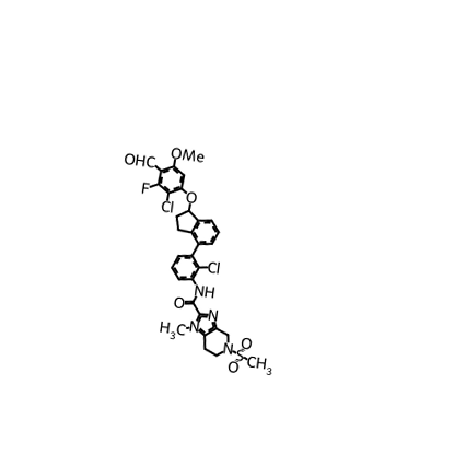 COc1cc(OC2CCc3c(-c4cccc(NC(=O)c5nc6c(n5C)CCN(S(C)(=O)=O)C6)c4Cl)cccc32)c(Cl)c(F)c1C=O